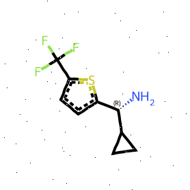 N[C@@H](c1ccc(C(F)(F)F)s1)C1CC1